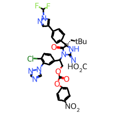 CC(C)(C)C[C@]1(c2ccc(-c3cnn(C(F)F)c3)cc2)NC(=NC(=O)O)N(C(COC(=O)Oc2ccc([N+](=O)[O-])cc2)c2ccc(Cl)c(-n3cncn3)c2)C1=O